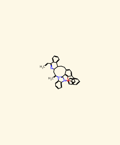 C=CC1=NC2CC(=C)[n+]3c(n(-c4ccccc4)c4ccccc43)-c3c(ccc4c3oc3ccccc34)CCC2c2ccccc21